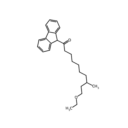 CCOCCC(C)CCCCCCC(=O)C1c2ccccc2-c2ccccc21